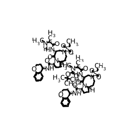 CCS(=O)(=O)N1CC[C@H]2CC[C@@H](C(=O)N[C@@H]3CCOc4ccccc43)N2C(=O)[C@@H](NC(=O)[C@H](C)N(C)C(=O)OC(C)(C)C)C1.CCS(=O)(=O)N1CC[C@H]2CC[C@@H](C(=O)N[C@@H]3CCOc4ccccc43)N2C(=O)[C@@H](NC(=O)[C@H](C)NC)C1